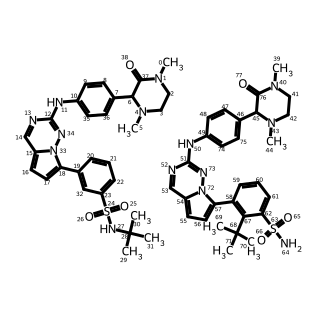 CN1CCN(C)C(c2ccc(Nc3ncc4ccc(-c5cccc(S(=O)(=O)NC(C)(C)C)c5)n4n3)cc2)C1=O.CN1CCN(C)C(c2ccc(Nc3ncc4ccc(-c5cccc(S(N)(=O)=O)c5C(C)(C)C)n4n3)cc2)C1=O